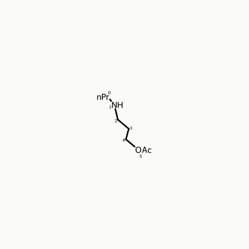 CCCNCCCOC(C)=O